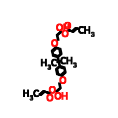 CC=CC(=O)OC(O)CCOc1ccc(C(C)(C)c2ccc(OCCC(O)OC(=O)C=CC)cc2)cc1